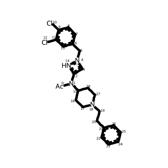 CC(=O)N(c1cn(Cc2ccc(Cl)c(Cl)c2)[nH]1)C1CCN(CCc2ccccc2)CC1